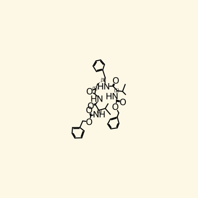 CC(C)[C@H](NC(=O)OCc1ccccc1)C(=O)NC1O[C@H]1C[C@H](Cc1ccccc1)NC(=O)[C@@H](NC(=O)OCc1ccccc1)C(C)C